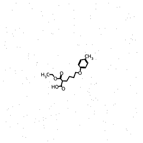 CCOC(=O)C(CCCCOc1ccc(C)cc1)C(=O)O